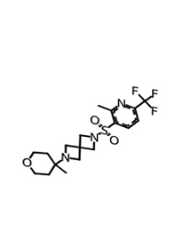 Cc1nc(C(F)(F)F)ccc1S(=O)(=O)N1CC2(CN(C3(C)CCOCC3)C2)C1